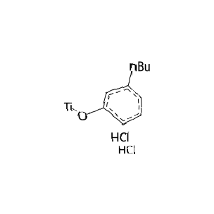 CCCCc1cccc([O][Ti])c1.Cl.Cl